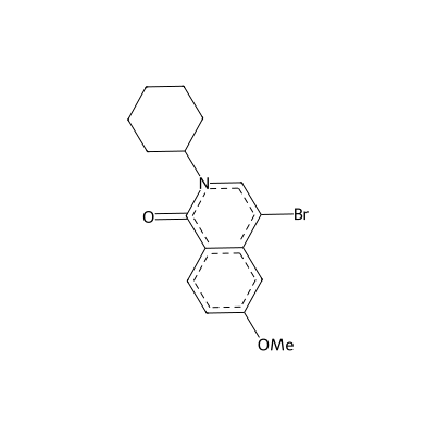 COc1ccc2c(=O)n(C3CCCCC3)cc(Br)c2c1